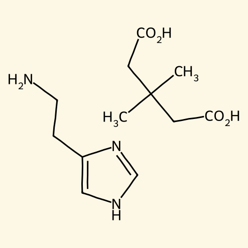 CC(C)(CC(=O)O)CC(=O)O.NCCc1c[nH]cn1